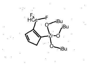 CCC(C)[O][Zr]([O]C(C)CC)([O]C(C)CC)[C]1=[C]([GeH]([F])[F])C=CC1